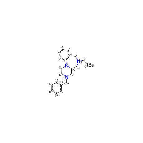 CC(C)(C)CN1Cc2ccccc2N2CCN(Cc3ccccc3)CC2C1